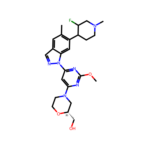 COc1nc(N2CCO[C@@H](CO)C2)cc(-n2ncc3cc(C)c(C4CCN(C)CC4F)cc32)n1